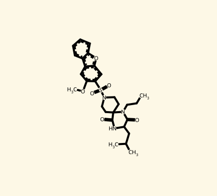 CCCN1C(=O)C(CC(C)C)NC(=O)C12CCN(S(=O)(=O)c1cc3oc4ccccc4c3cc1OC)CC2